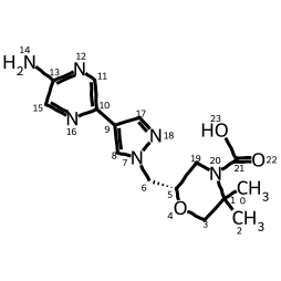 CC1(C)CO[C@H](Cn2cc(-c3cnc(N)cn3)cn2)CN1C(=O)O